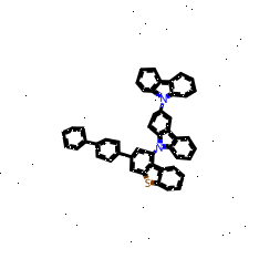 c1ccc(-c2ccc(-c3cc(-n4c5ccccc5c5cc(-n6c7ccccc7c7ccccc76)ccc54)c4c(c3)sc3ccccc34)cc2)cc1